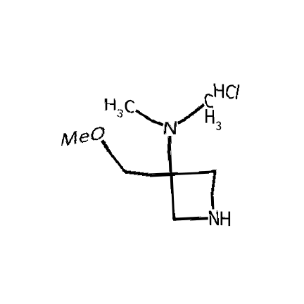 COCC1(N(C)C)CNC1.Cl